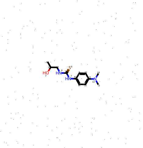 CC(O)CNC(=S)Nc1ccc(N(C)C)cc1